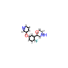 Fc1ccc(Oc2cccnc2)cc1C1CNCCO1